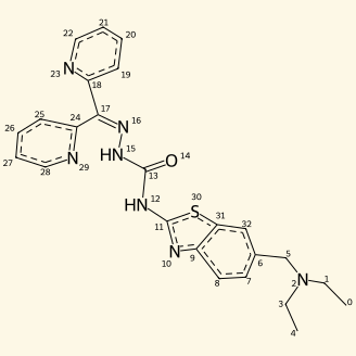 CCN(CC)Cc1ccc2nc(NC(=O)NN=C(c3ccccn3)c3ccccn3)sc2c1